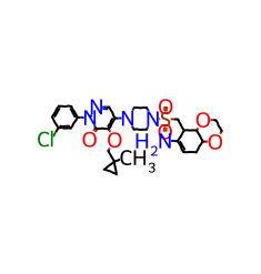 CC1(COc2c(N3CCN(S(=O)(=O)CC4C(N)=CCC5OCCOC54)CC3)cnn(-c3cccc(Cl)c3)c2=O)CC1